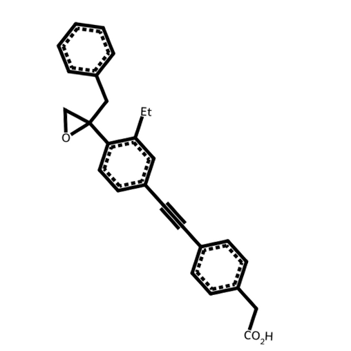 CCc1cc(C#Cc2ccc(CC(=O)O)cc2)ccc1C1(Cc2ccccc2)CO1